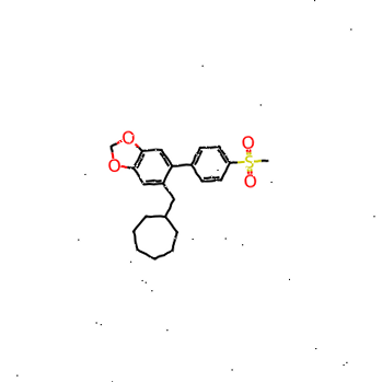 CS(=O)(=O)c1ccc(-c2cc3c(cc2CC2CCCCCC2)OCO3)cc1